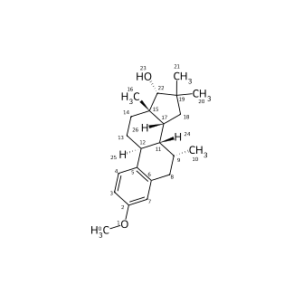 COc1ccc2c(c1)C[C@@H](C)[C@@H]1[C@@H]2CC[C@@]2(C)[C@@H]1CC(C)(C)[C@H]2O